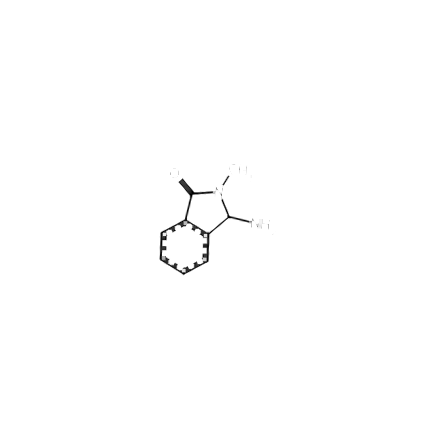 CN1C(=O)c2ccccc2C1N